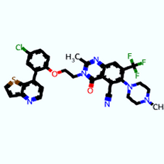 Cc1nc2cc(C(F)(F)F)c(N3CCN(C)CC3)c(C#N)c2c(=O)n1CCOc1ccc(Cl)cc1-c1ccnc2ccsc12